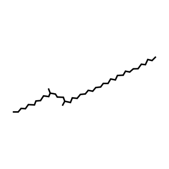 CCCCCCCCCCCCCCCCCCCCCCCCC(C)CCCC(C)CCCCCCCCCC